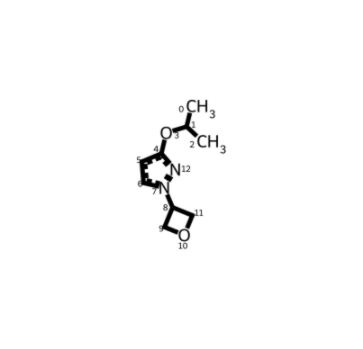 CC(C)Oc1ccn(C2COC2)n1